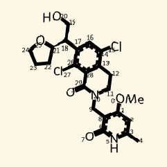 COc1cc(C)[nH]c(=O)c1CN1CCc2c(Cl)cc(C(CO)[C@H]3CCCO3)c(Cl)c2C1=O